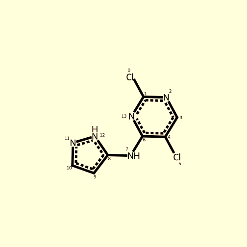 Clc1ncc(Cl)c(Nc2ccn[nH]2)n1